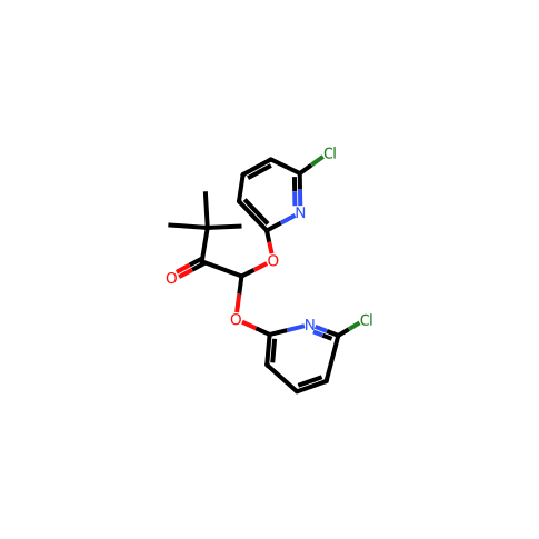 CC(C)(C)C(=O)C(Oc1cccc(Cl)n1)Oc1cccc(Cl)n1